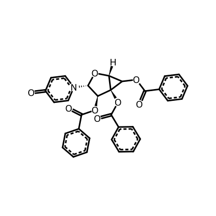 O=C(OC1[C@H]2O[C@@H](n3ccc(=O)cc3)[C@H](OC(=O)c3ccccc3)[C@@]12OC(=O)c1ccccc1)c1ccccc1